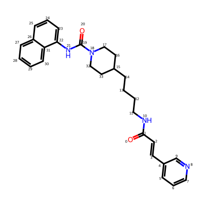 O=C(C=Cc1cccnc1)NCCCCC1CCN(C(=O)Nc2cccc3ccccc23)CC1